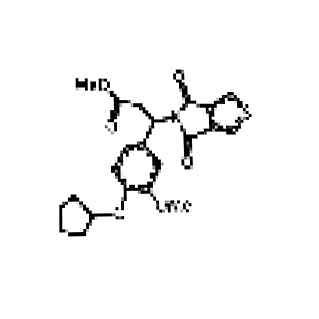 COC(=O)CC(c1ccc(OC2CCCC2)c(OC)c1)N1C(=O)c2cscc2C1=O